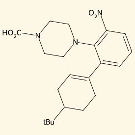 CC(C)(C)C1CC=C(c2cccc([N+](=O)[O-])c2N2CCN(C(=O)O)CC2)CC1